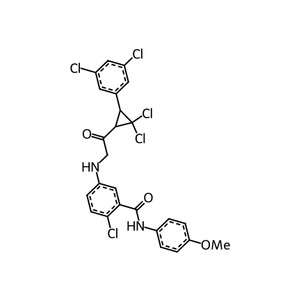 COc1ccc(NC(=O)c2cc(NCC(=O)C3C(c4cc(Cl)cc(Cl)c4)C3(Cl)Cl)ccc2Cl)cc1